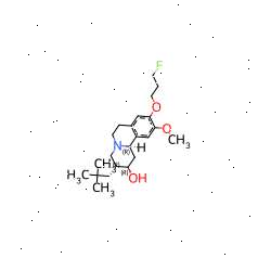 COc1cc2c(cc1OCCCF)CCN1C[C@@H](CC(C)(C)C)[C@H](O)C[C@H]21